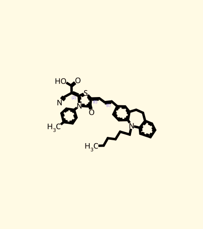 CCCCCCN1c2ccccc2CCc2cc(/C=C/C=c3/s/c(=C(/C#N)C(=O)O)n(-c4ccc(C)cc4)c3=O)ccc21